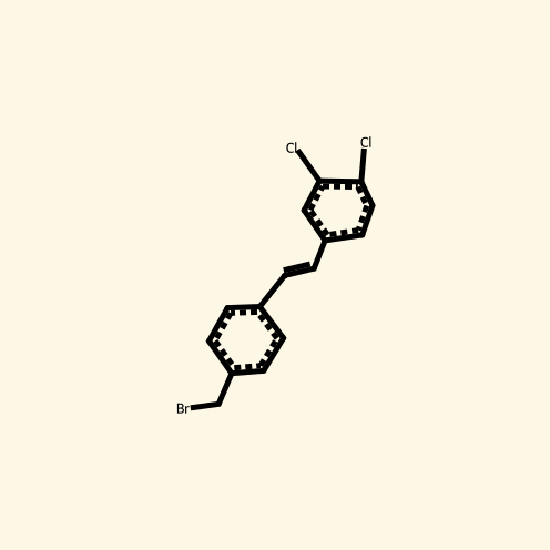 Clc1ccc(/C=C/c2ccc(CBr)cc2)cc1Cl